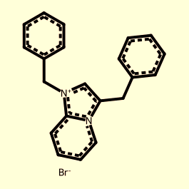 [Br-].c1ccc(Cc2c[n+](Cc3ccccc3)c3ccccn23)cc1